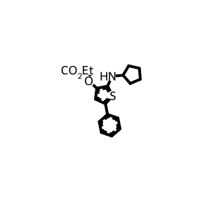 CCOC(=O)Oc1cc(-c2ccccc2)sc1NC1CCCC1